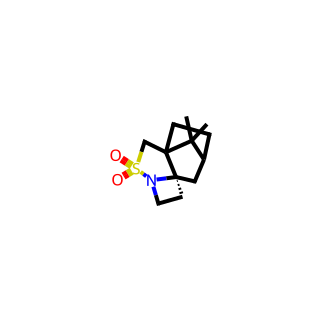 CC1(C)C2CCC13CS(=O)(=O)N1CC[C@]13C2